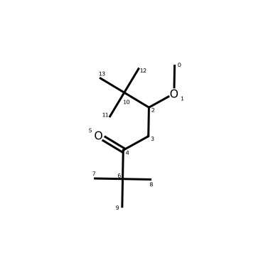 COC(CC(=O)C(C)(C)C)C(C)(C)C